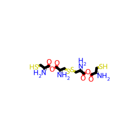 N[C@@H](CS)C(=O)OC(=O)[C@@H](N)CSSC[C@H](N)C(=O)OC(=O)[C@@H](N)CS